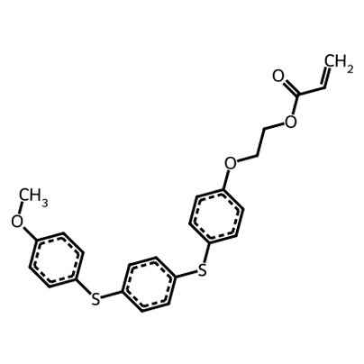 C=CC(=O)OCCOc1ccc(Sc2ccc(Sc3ccc(OC)cc3)cc2)cc1